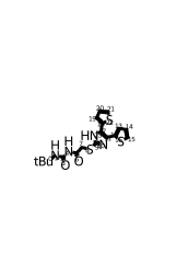 CC(C)(C)NC(=O)NC(=O)CSc1nc(-c2cccs2)c(-c2cccs2)[nH]1